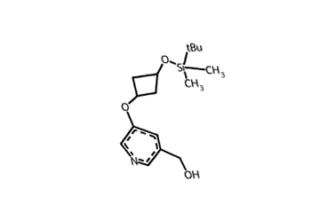 CC(C)(C)[Si](C)(C)OC1CC(Oc2cncc(CO)c2)C1